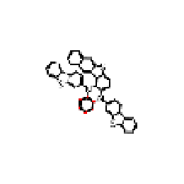 c1ccc(N(c2ccc3c(c2)sc2ccccc23)c2ccc3sc4cc5ccccc5cc4c3c2N(c2ccccc2)c2ccc3c(c2)sc2ccccc23)cc1